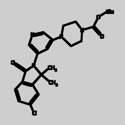 CC(C)(C)OC(=O)N1CCN(c2cncc(N3C(=O)c4ccc(Cl)cc4C3(C)C)c2)CC1